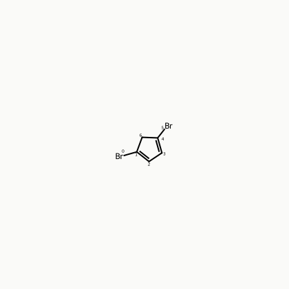 BrC1=CC=C(Br)C1